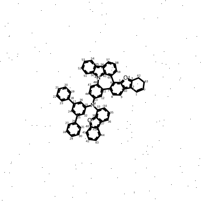 C1=Cc2c(oc3c4c(ccc23)-c2cc(N(c3cc(-c5ccccc5)cc(-c5ccccc5)c3)c3cccc5c3oc3ccccc35)ccc2-n2c3ccccc3c3cccc-4c32)CC1